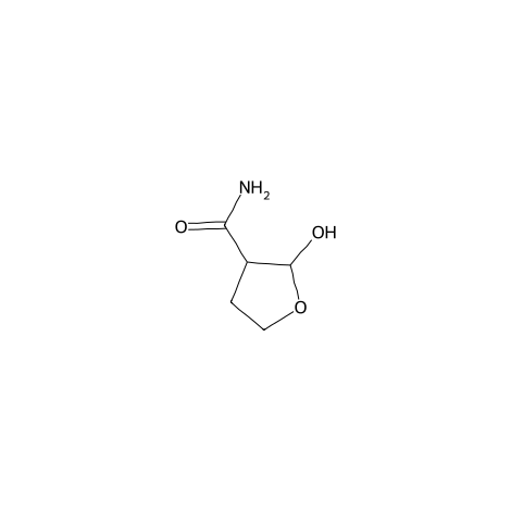 NC(=O)C1CCOC1O